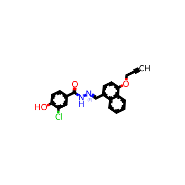 C#CCOc1ccc(/C=N/NC(=O)c2ccc(O)c(Cl)c2)c2ccccc12